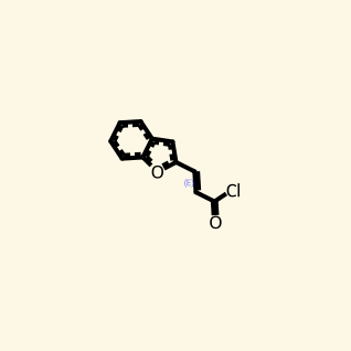 O=C(Cl)/C=C/c1cc2ccccc2o1